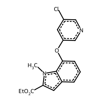 CCOC(=O)c1cc2cccc(Oc3cncc(Cl)c3)c2n1C